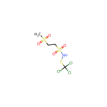 CS(=O)(=O)CCS(=O)(=O)NSC(Cl)(Cl)Cl